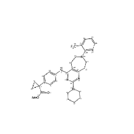 COC(=O)C1(c2ccc(Nc3nc(N4CCCCC4)nc4c3CCN(c3ncccc3C(F)(F)F)CC4)cc2)CC1